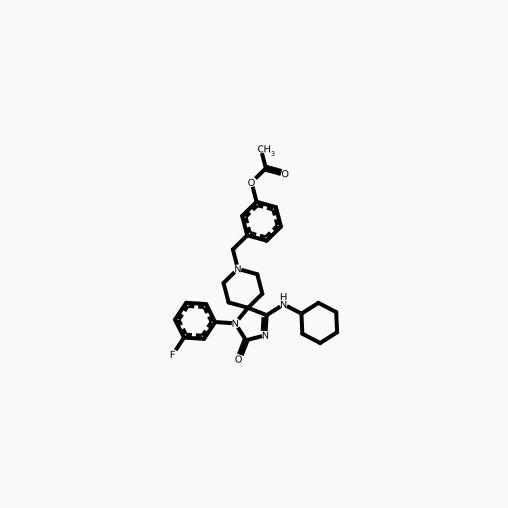 CC(=O)Oc1cccc(CN2CCC3(CC2)C(NC2CCCCC2)=NC(=O)N3c2cccc(F)c2)c1